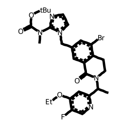 CCOc1cc(C(C)N2CCc3c(Br)cc(Cn4ccnc4N(C)C(=O)OC(C)(C)C)cc3C2=O)ncc1F